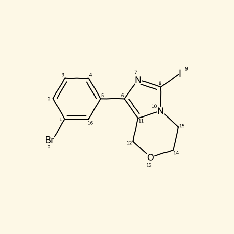 Brc1cccc(-c2nc(I)n3c2COCC3)c1